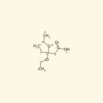 CCOC(CC)(CC(=O)O)OCC